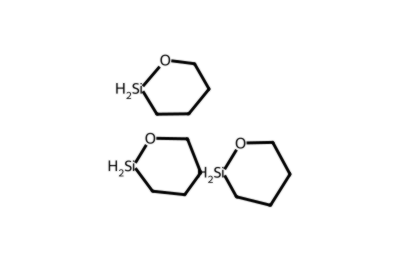 C1CC[SiH2]OC1.C1CC[SiH2]OC1.C1CC[SiH2]OC1